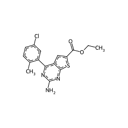 CCOC(=O)c1cc2c(-c3cc(Cl)ccc3C)nc(N)nc2s1